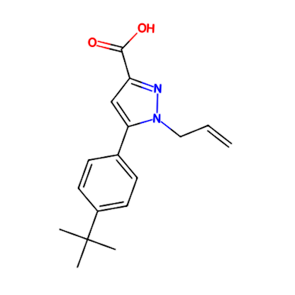 C=CCn1nc(C(=O)O)cc1-c1ccc(C(C)(C)C)cc1